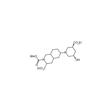 CCOC(=O)C1CC2CC(N3C[C@H](O)C[C@H](C(=O)OCC)C3)CCC2CN1C(=O)OC